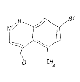 Cc1cc(Br)cc2nncc(Cl)c12